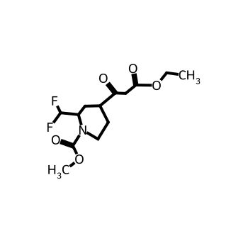 CCOC(=O)CC(=O)C1CCN(C(=O)OC)C(C(F)F)C1